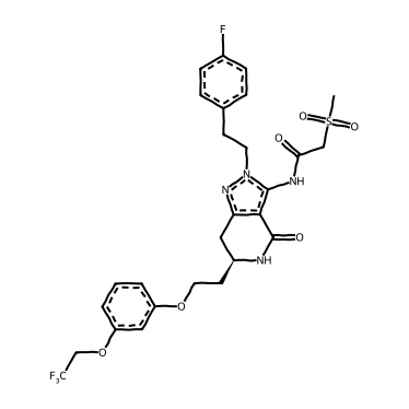 CS(=O)(=O)CC(=O)Nc1c2c(nn1CCc1ccc(F)cc1)C[C@H](CCOc1cccc(OCC(F)(F)F)c1)NC2=O